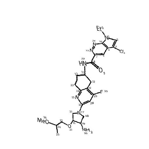 CCn1cc(Cl)c2cc(C(=O)NC3CCc4nc(N5CC(N)C(OCC(C)OC)C5)cc(F)c4C3)nnc21